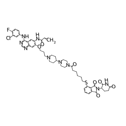 C=CC(=O)Nc1cc2c(Nc3ccc(F)c(Cl)c3)ncnc2cc1OCCCN1CCC(N2CCN(C(=O)CCCCCSc3cccc4c3C(=O)N(C3CCC(=O)NC3=O)C4=O)CC2)CC1